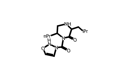 CCCC1CNC(CC(C)C)C(=O)N1C(=O)N1C=CON1